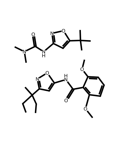 CCC(C)(CC)c1cc(NC(=O)c2c(OC)cccc2OC)on1.CN(C)C(=O)Nc1cc(C(C)(C)C)on1